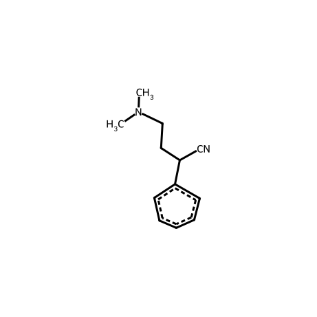 CN(C)CCC(C#N)c1ccccc1